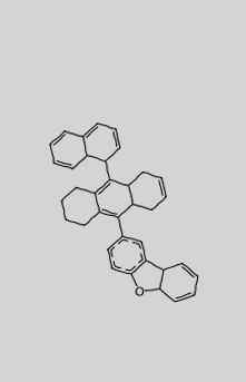 C1=CC2=CC=CC(C3=C4CCCCC4=C(c4ccc5c(c4)C4C=CC=CC4O5)C4CC=CCC34)C2C=C1